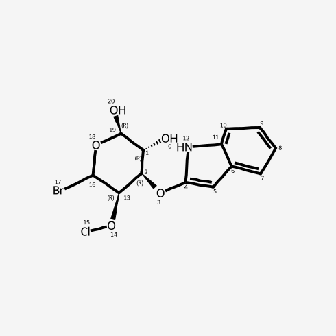 O[C@@H]1[C@@H](Oc2cc3ccccc3[nH]2)[C@@H](OCl)C(Br)O[C@H]1O